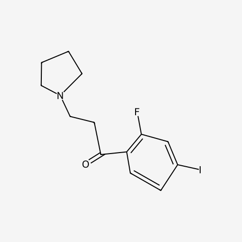 O=C(CCN1CCCC1)c1ccc(I)cc1F